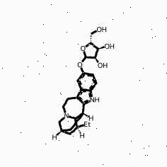 CC[C@H]1C[C@H]2C[C@H]3c4[nH]c5ccc(OC6O[C@H](CO)[C@@H](O)[C@H]6O)cc5c4CCN(C2)C13